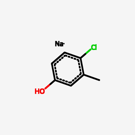 Cc1cc(O)ccc1Cl.[Na]